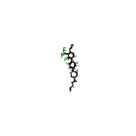 CCCCCC1CCC(c2ccc(-c3ccc(CC)c(C(F)F)c3F)cc2)CC1